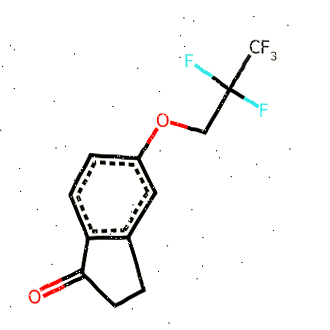 O=C1CCc2cc(OCC(F)(F)C(F)(F)F)ccc21